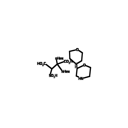 C1COCCN1.C1COCCN1.CCCCCCC(CCCCCC)(C(=O)O)C(C(=O)O)S(=O)(=O)O